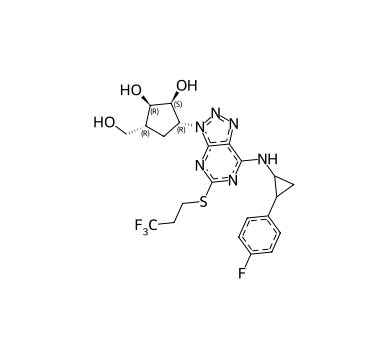 OC[C@H]1C[C@@H](n2nnc3c(NC4CC4c4ccc(F)cc4)nc(SCCC(F)(F)F)nc32)[C@H](O)[C@@H]1O